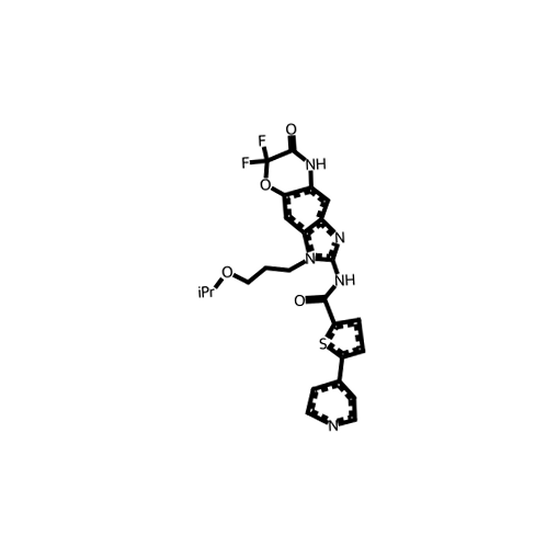 CC(C)OCCCn1c(NC(=O)c2ccc(-c3ccncc3)s2)nc2cc3c(cc21)OC(F)(F)C(=O)N3